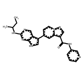 CCC(C)Nc1ncc2c(-c3ccn4ncc(C(=O)Nc5cccnc5)c4c3)c[nH]c2n1